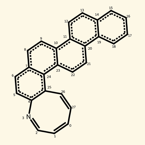 C1=CC=Nc2ccc3ccc4c5ccc6ccccc6c5ccc4c3c2C=C1